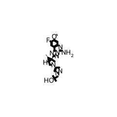 COc1cc2nc(N)n3nc([C@@]45CN(c6cnn(CC(C)(C)O)c6)C[C@@H]4[C@@H]5C)nc3c2cc1F